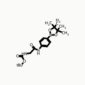 CC(C)(C)OC(=O)NCC(=O)Nc1ccc(B2OC(C)(C)C(C)(C)O2)cc1